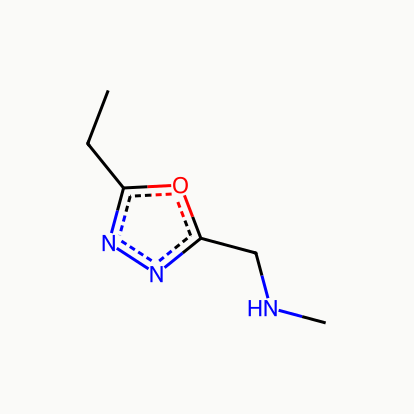 CCc1nnc(CNC)o1